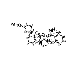 COc1cccc(-c2cccc(CC[N+]3(C)Oc4ccccc4C(N)=C3OC(=O)C(F)(F)F)c2)c1